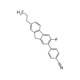 CCCc1ccc2c(c1)Cc1cc(-c3ccc(C#N)cc3)c(F)cc1-2